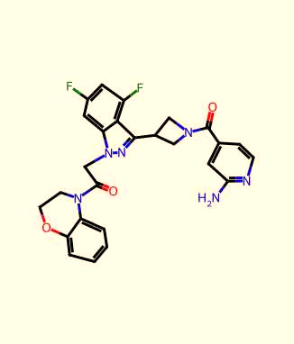 Nc1cc(C(=O)N2CC(c3nn(CC(=O)N4CCOc5ccccc54)c4cc(F)cc(F)c34)C2)ccn1